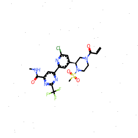 C=CC(=O)N1CCN(S(C)(=O)=O)[C@@H](c2cc(Cl)nc(-c3cc(C(=O)NC)nc(C(F)(F)F)n3)c2)C1